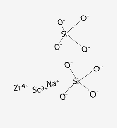 [Na+].[O-][Si]([O-])([O-])[O-].[O-][Si]([O-])([O-])[O-].[Sc+3].[Zr+4]